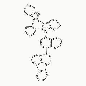 c1ccc2c(c1)-c1cccc3c(-c4ccc(-n5c6ccccc6c6c7sc8ccccc8c7c7ccccc7c65)c5ccccc45)ccc-2c13